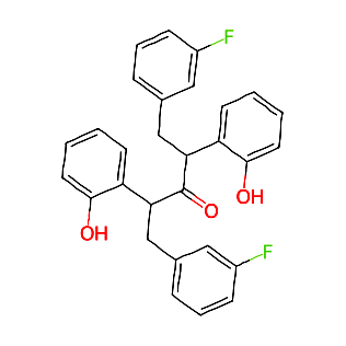 O=C(C(Cc1cccc(F)c1)c1ccccc1O)C(Cc1cccc(F)c1)c1ccccc1O